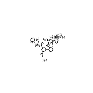 COc1c(CN2OC(O)[C@@H]([C@H](C)O)[C@H]2C(=O)N[C@H]2C[C@H]3CC([C@@H]2C)C3(C)C)cccc1-c1cc(C(=O)N[C@@H](Cc2ccccn2)CN(C)C)cc(N(C)CCO)c1